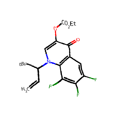 C=CC(n1cc(OC(=O)OCC)c(=O)c2cc(F)c(F)c(F)c21)C(C)(C)C